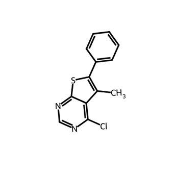 Cc1c(-c2ccccc2)sc2ncnc(Cl)c12